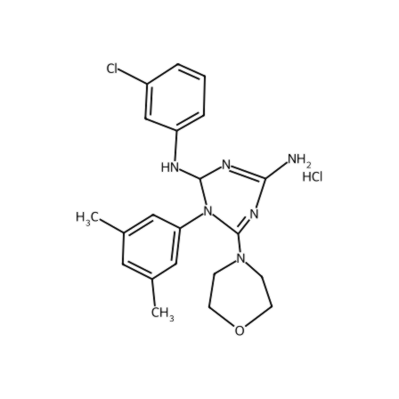 Cc1cc(C)cc(N2C(N3CCOCC3)=NC(N)=NC2Nc2cccc(Cl)c2)c1.Cl